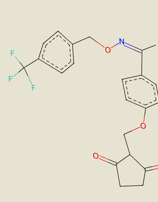 CC(=NOCc1ccc(C(F)(F)F)cc1)c1ccc(OCC2C(=O)CCC2=O)cc1